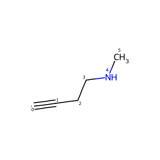 [C]#CCCNC